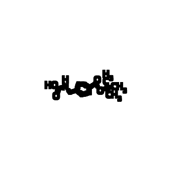 CC(C)(C)OC(=O)c1ccc(CNC(=O)O)cc1